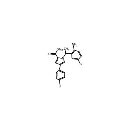 COC(=O)c1cc(-c2ccc(F)cc2)cn1C(C)c1cc(Br)ccc1N